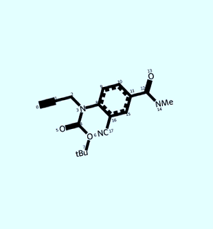 C#CCN(C(=O)OC(C)(C)C)c1ccc(C(=O)NC)cc1C#N